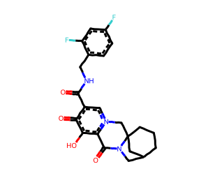 O=C(NCc1ccc(F)cc1F)c1cn2c(c(O)c1=O)C(=O)N1CC3CCCC1(C3)C2